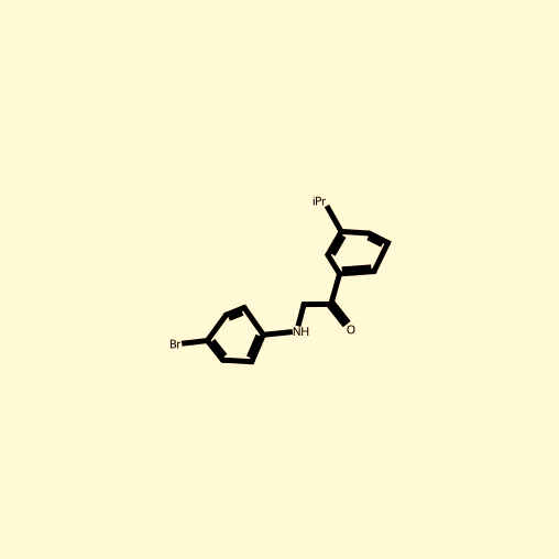 CC(C)c1cccc(C(=O)CNc2ccc(Br)cc2)c1